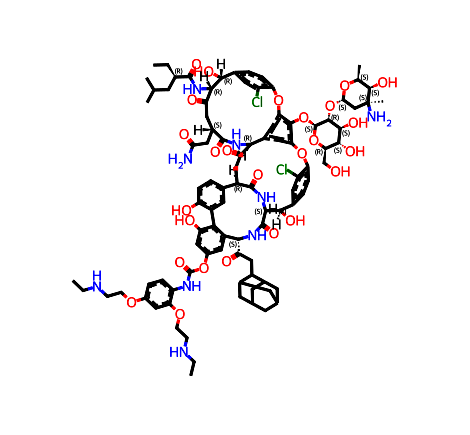 CCNCCOc1ccc(NC(=O)Oc2cc(O)c3c(c2)[C@@H](C(=O)CC2C4CC5CC(C4)CC2C5)NC(=O)[C@H]2NC(=O)[C@H](CC(=O)[C@@H]4NC(=O)[C@H](CC(N)=O)CC(=O)[C@H](NC(=O)[C@H](CC)CC(C)C)[C@H](O)c5ccc(c(Cl)c5)Oc5cc4cc(c5O[C@@H]4O[C@H](CO)[C@@H](O)[C@H](O)[C@H]4O[C@H]4C[C@](C)(N)[C@H](O)[C@H](C)O4)Oc4ccc(cc4Cl)[C@H]2O)c2ccc(O)c-3c2)c(OCCNCC)c1